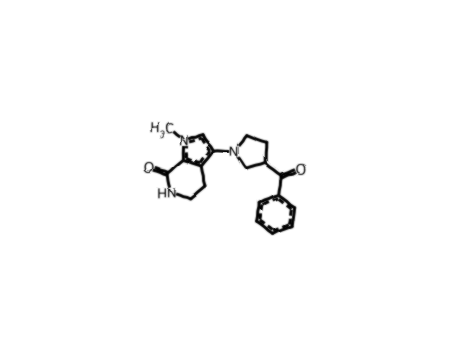 Cn1cc(N2CCC(C(=O)c3ccccc3)C2)c2c1C(=O)NCC2